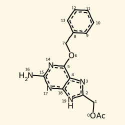 CC(=O)OCc1nc2c(OCc3ccccc3)nc(N)nc2[nH]1